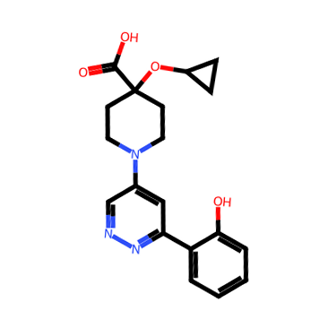 O=C(O)C1(OC2CC2)CCN(c2cnnc(-c3ccccc3O)c2)CC1